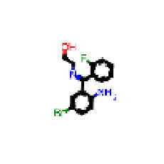 Nc1ccc(Br)cc1/C(=N/CCO)c1ccccc1F